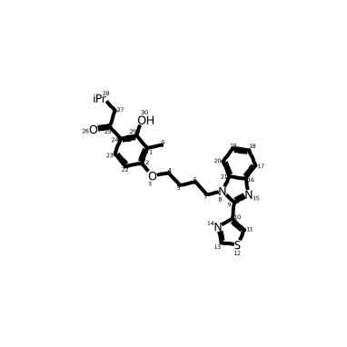 Cc1c(OCCCCn2c(-c3cscn3)nc3ccccc32)ccc(C(=O)CC(C)C)c1O